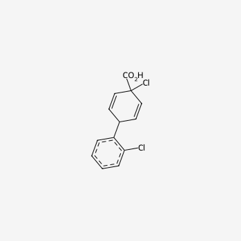 O=C(O)C1(Cl)C=CC(c2ccccc2Cl)C=C1